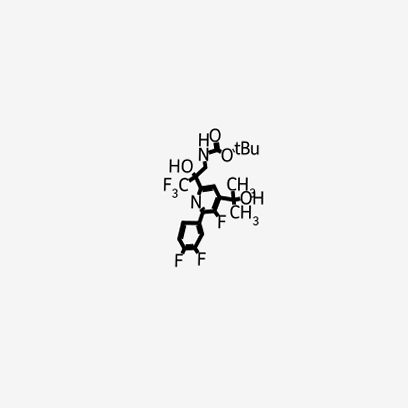 CC(C)(C)OC(=O)NCC(O)(c1cc(C(C)(C)O)c(F)c(-c2ccc(F)c(F)c2)n1)C(F)(F)F